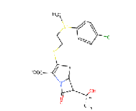 C[C@@H](O)C1C(=O)N2C(C(=O)[O-])=C(SCC[S+](C)c3ccc(Cl)cc3)CC12